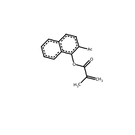 C=C(C)C(=O)Oc1c(C(C)=O)ccc2ccccc12